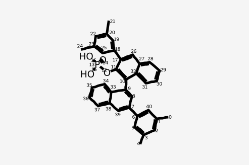 Cc1cc(C)cc(-c2cc(-c3c(OP(=O)(O)O)c(-c4cc(C)cc(C)c4)cc4ccccc34)c3ccccc3c2)c1